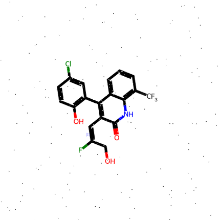 O=c1[nH]c2c(C(F)(F)F)cccc2c(-c2cc(Cl)ccc2O)c1/C=C(/F)CO